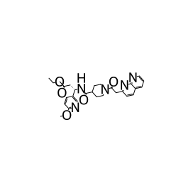 CCOC(=O)C[C@H](NC(=O)C1CCN(C(=O)Cc2ccc3cccnc3n2)CC1)c1ccc(OC)nc1